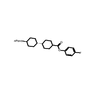 CCCCC[C@H]1CC[C@H](C2CCC(C(=O)Oc3ccc(F)cc3)CC2)CC1